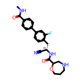 CNC(=O)c1ccc(-c2ccc(C[C@@H](C#N)NC(=O)C3CNCCCO3)c(F)c2)cc1